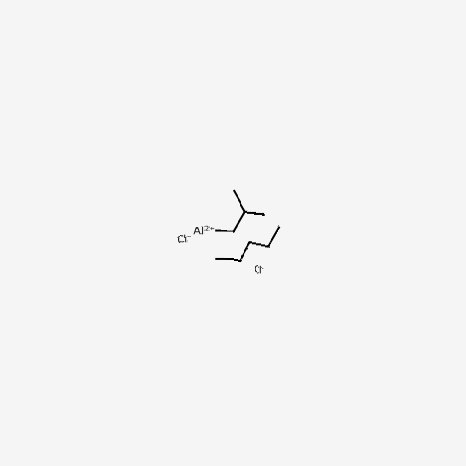 CC(C)[CH2][Al+2].CCCCC.[Cl-].[Cl-]